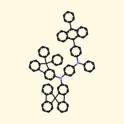 c1ccc(-c2c3ccccc3c(-c3ccc(N(c4ccccc4)c4ccc(N(c5ccc6c(c5)C(c5ccccc5)(c5ccccc5)c5ccccc5-6)c5ccc6c(c5)C5(c7ccccc7-c7ccccc75)c5ccccc5-6)cc4)cc3)c3ccccc23)cc1